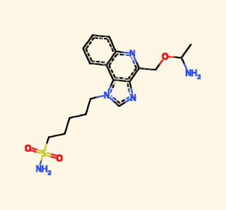 CC(N)OCc1nc2ccccc2c2c1ncn2CCCCCS(N)(=O)=O